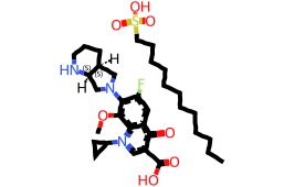 CCCCCCCCCCCCS(=O)(=O)O.COc1c(N2C[C@@H]3CCCN[C@@H]3C2)c(F)cc2c(=O)c(C(=O)O)cn(C3CC3)c12